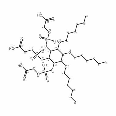 CCCCCCOC1C(OCCCCCC)C(OP(=O)(O)OCC(=O)O)C(OP(=O)(O)OCC(=O)O)C(OP(=O)(O)OCC(=O)O)C1OCCCCCC